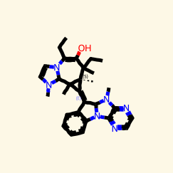 CCC1=C(O)C(C)(CC)[C@@]2(C)/C(=C3/c4ccccc4N4c5nccnc5N(C)C34)C2(C)C2N(C)C=CN12